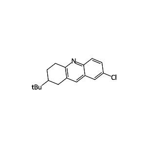 CC(C)(C)C1CCc2nc3ccc(Cl)cc3cc2C1